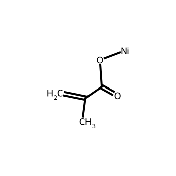 C=C(C)C(=O)[O][Ni]